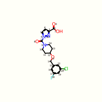 O=C(O)c1ccn(C(=O)N2CCC(OCc3cc(F)cc(Cl)c3)CC2)n1